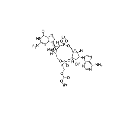 CCOP1(=O)OC[C@@]23C[C@@H]2[C@@H](n2cnc4c(N)ncnc42)[C@H](O)[C@@H]3OP(=O)(SCOC(=O)OC(C)C)OC[C@H]2OC(n3cnc4c(=O)[nH]c(N)nc43)[C@H]1[C@@H]2OC